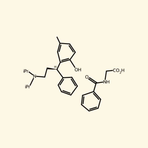 Cc1ccc(O)c([C@H](CCN(C(C)C)C(C)C)c2ccccc2)c1.O=C(O)CNC(=O)c1ccccc1